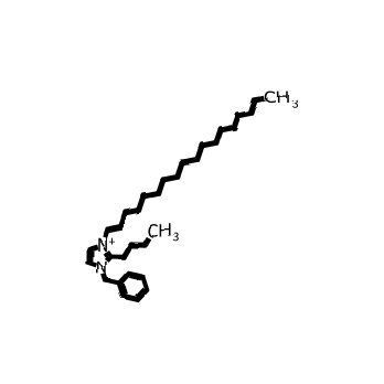 CCCCCCCCCCCCCCCCCC[n+]1ccn(Cc2ccccc2)c1CCCC